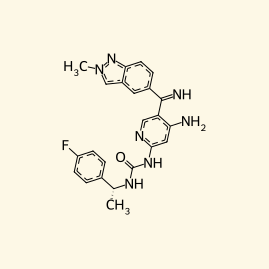 C[C@@H](NC(=O)Nc1cc(N)c(C(=N)c2ccc3nn(C)cc3c2)cn1)c1ccc(F)cc1